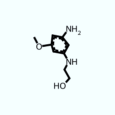 COc1cc(N)cc(NCCO)c1